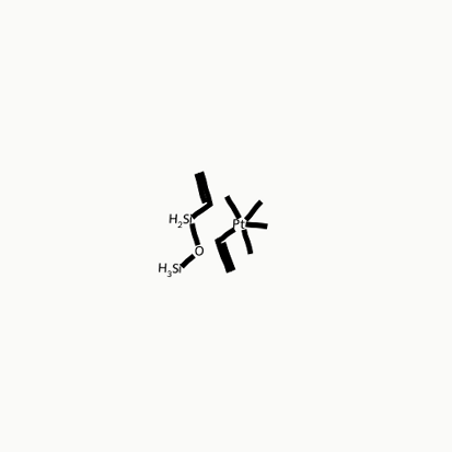 C=C[SiH2]O[SiH3].C=[CH][Pt]([CH3])([CH3])([CH3])[CH3]